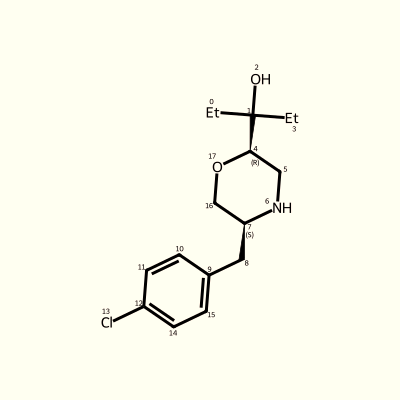 CCC(O)(CC)[C@H]1CN[C@@H](Cc2ccc(Cl)cc2)CO1